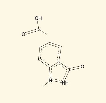 CC(=O)O.Cn1[nH]c(=O)c2ccccc21